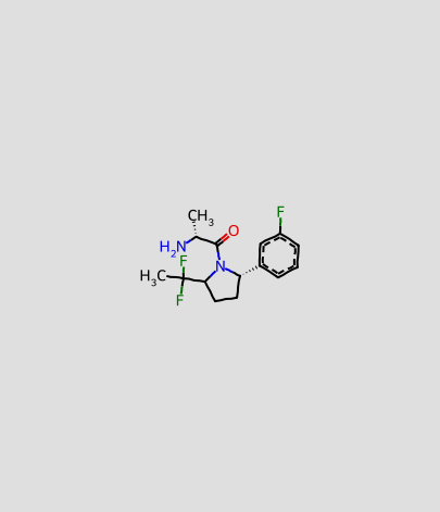 C[C@@H](N)C(=O)N1C(C(C)(F)F)CC[C@H]1c1cccc(F)c1